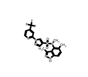 Cc1ccc2[nH]nc(C)c2c1N(C)S(=O)(=O)c1cnn(-c2cc(C(F)(F)F)ccn2)c1